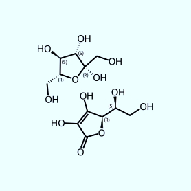 O=C1O[C@H]([C@@H](O)CO)C(O)=C1O.OC[C@H]1O[C@](O)(CO)[C@@H](O)[C@@H]1O